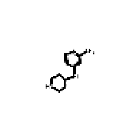 FC(F)(F)c1cc(NC2CCNCC2)ccn1